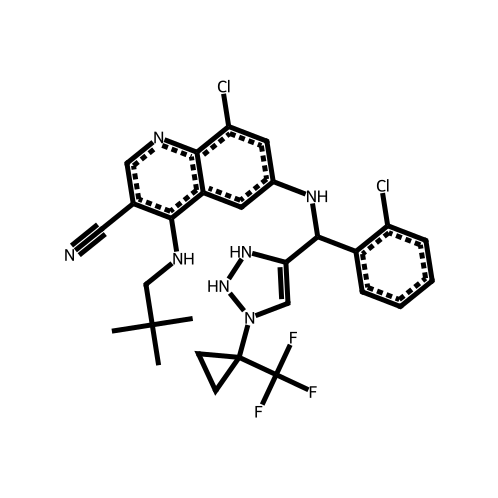 CC(C)(C)CNc1c(C#N)cnc2c(Cl)cc(NC(C3=CN(C4(C(F)(F)F)CC4)NN3)c3ccccc3Cl)cc12